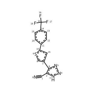 N#Cc1[nH]nnc1-c1csc(-c2ccc(C(F)(F)F)cc2)c1